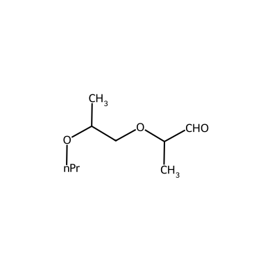 CCCOC(C)COC(C)C=O